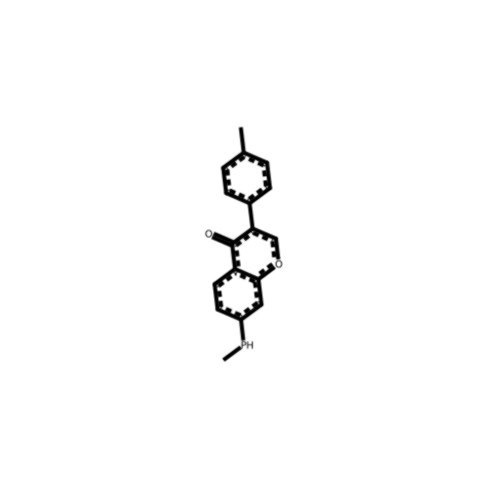 CPc1ccc2c(=O)c(-c3ccc(C)cc3)coc2c1